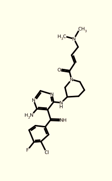 CN(C)C/C=C/C(=O)N1CCCC(Nc2ncnc(N)c2C(=N)c2ccc(F)c(Cl)c2)C1